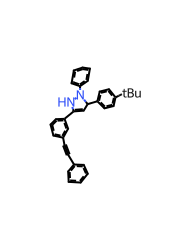 CC(C)(C)c1ccc(C2C=C(c3cccc(C#Cc4ccccc4)c3)NN2c2ccccc2)cc1